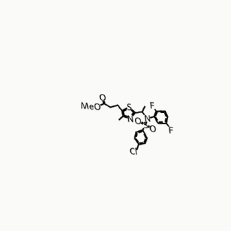 COC(=O)CCc1sc(C(C)N(c2cc(F)ccc2F)S(=O)(=O)c2ccc(Cl)cc2)nc1C